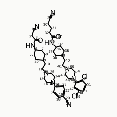 N#CCC(=O)NC1CCC(CCN2CCN(c3ccc(C#N)cc3)CC2)CC1.N#CCCCC(=O)NC1CCC(CCN2CCN(c3cc(Cl)ccc3Cl)CC2)CC1